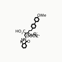 COc1ccc(-c2ccc(CC[C@H](O)[C@H](CCn3nnc4ccccc4c3=O)C(=O)O)cc2)cc1.O=C([O-])[O-].[K+].[K+]